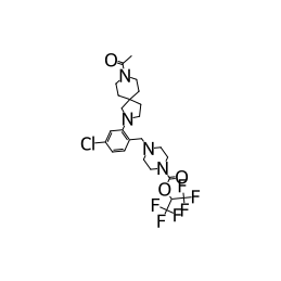 CC(=O)N1CCC2(CC1)CCN(c1cc(Cl)ccc1CN1CCN(C(=O)OC(C(F)(F)F)C(F)(F)F)CC1)C2